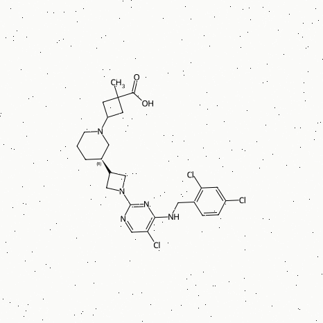 CC1(C(=O)O)CC(N2CCC[C@H](C3CN(c4ncc(Cl)c(NCc5ccc(Cl)cc5Cl)n4)C3)C2)C1